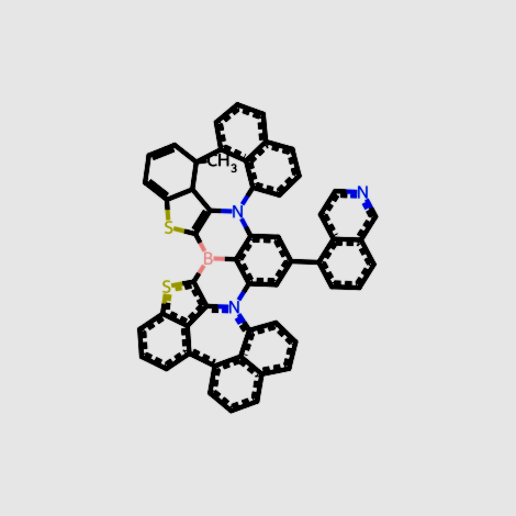 CC12C=CC=C3SC4=C(C31)N(c1cc(-c3cccc5cnccc35)cc3c1B4c1sc4cccc5c6cccc7cccc(c76)n-3c1c45)c1cccc3cccc2c13